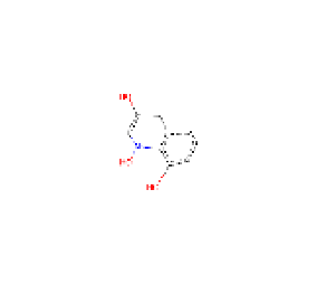 OC1=CN(O)c2c(O)cccc2C1